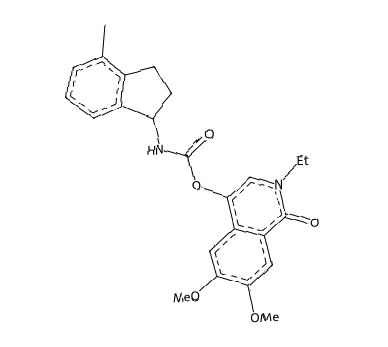 CCn1cc(OC(=O)NC2CCc3c(C)cccc32)c2cc(OC)c(OC)cc2c1=O